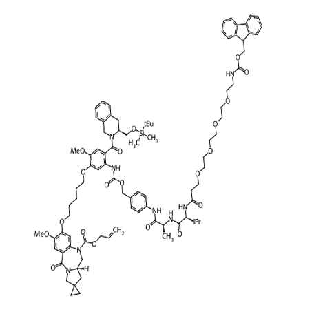 C=CCOC(=O)N1C[C@@H]2CC3(CC3)CN2C(=O)c2cc(OC)c(OCCCCCOc3cc(NC(=O)OCc4ccc(NC(=O)[C@H](C)NC(=O)[C@@H](NC(=O)CCOCCOCCOCCOCCNC(=O)OCC5c6ccccc6-c6ccccc65)C(C)C)cc4)c(C(=O)N4Cc5ccccc5C[C@H]4CO[Si](C)(C)C(C)(C)C)cc3OC)cc21